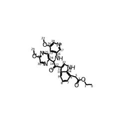 CCOC(=O)Cc1cccc2c(C(=O)C(Nc3cncc(OC)c3)c3cnc(OC)cn3)c[nH]c12